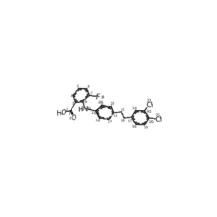 O=C(O)c1cccc(F)c1Nc1ccc(CCc2ccc(Cl)c(Cl)c2)cc1